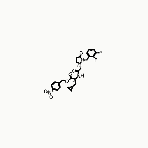 O=C(C[C@@H]1CCC(=O)N1Cc1cccc(F)c1F)N[C@@H](CC1CC1)C(=O)OCc1ccc([N+](=O)[O-])cc1